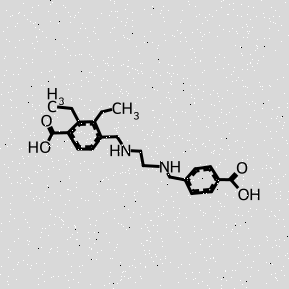 CCc1c(CNCCNCc2ccc(C(=O)O)cc2)ccc(C(=O)O)c1CC